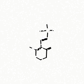 CC1=C(/C=C/[Si](C)(C)C)C(=O)CCC1